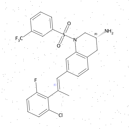 C/C(=C\c1ccc2c(c1)N(S(=O)(=O)c1cccc(C(F)(F)F)c1)C[C@H](N)C2)c1c(F)cccc1Cl